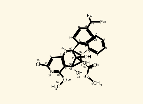 COC(=O)[C@H]1[C@@H](c2ccccc2)[C@@]2(c3ccc(C(F)F)cc3)Oc3cc(Cl)nc(OC)c3[C@@]1(O)C2(O)O